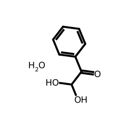 O.O=C(c1ccccc1)C(O)O